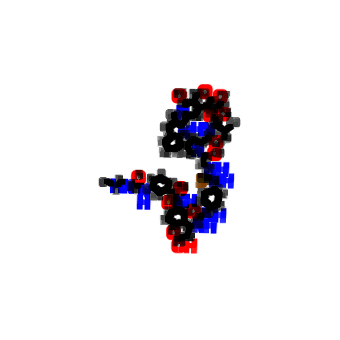 CCCNC(=O)Nc1cccc(S(=O)(=O)Nc2cccc(C(CC(=O)O)NC(=O)Nc3ccc(NC(=S)NCC(=O)N4CCC[C@H]4C(=O)N[C@H](C(=O)O[C@]4(CC)C(=O)OCc5c4cc4n(c5=O)Cc5cc6ccccc6nc5-4)C(C)C)cc3)c2)c1